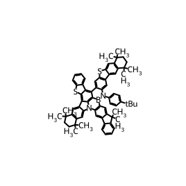 CC(C)(C)c1ccc(N2B3c4cc5c(cc4-n4c6cc7c(cc6c6c8sc9ccccc9c8c(c3c64)-c3cc4sc6cc8c(cc6c4cc32)C(C)(C)CCC8(C)C)C(C)(C)CCC7(C)C)-c2ccccc2C5(C)C)cc1